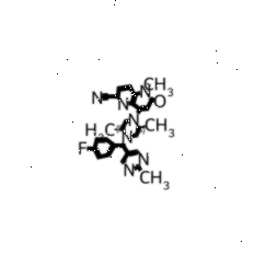 Cc1ncc(C(c2ccc(F)cc2)N2C[C@H](C)N(c3cc(=O)n(C)c4ccc(C#N)nc34)C[C@H]2C)cn1